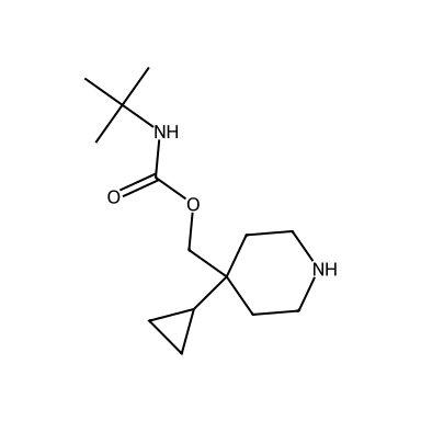 CC(C)(C)NC(=O)OCC1(C2CC2)CCNCC1